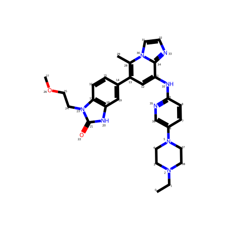 CCN1CCN(c2ccc(Nc3cc(-c4ccc5c(c4)[nH]c(=O)n5CCOC)c(C)n4ccnc34)nc2)CC1